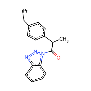 CC(C)Cc1ccc(C(C)C(=O)n2nnc3ccccc32)cc1